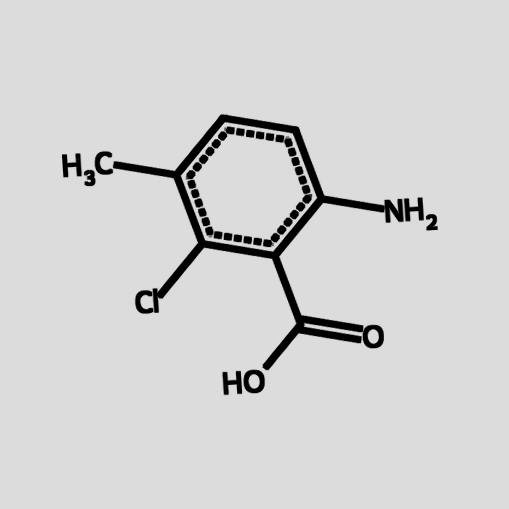 Cc1ccc(N)c(C(=O)O)c1Cl